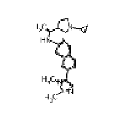 C=C(Nc1cc2cc(-c3cnc(C)n3C)ccc2cn1)C1CCN(C2CC2)C1